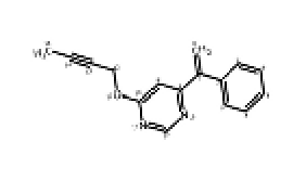 C=C(c1ccccc1)c1cc(OCC#CC)ncn1